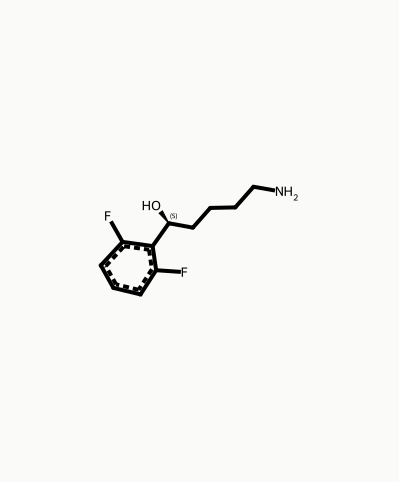 NCCCC[C@H](O)c1c(F)cccc1F